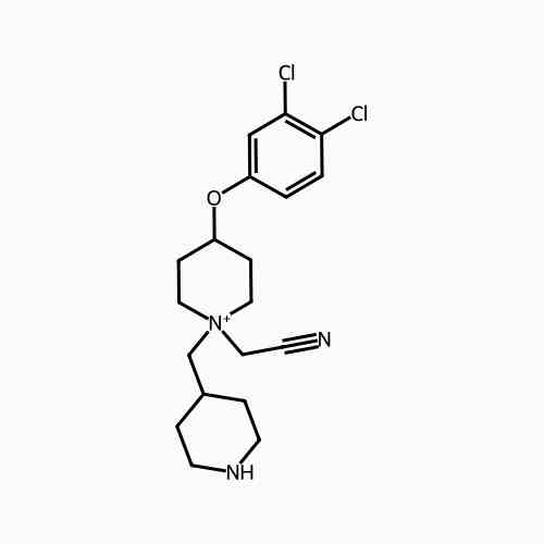 N#CC[N+]1(CC2CCNCC2)CCC(Oc2ccc(Cl)c(Cl)c2)CC1